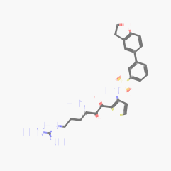 NC(N)NCCC[C@H](N)C(=O)C(=O)c1sccc1NS(=O)(=O)c1cccc(-c2ccc3c(c2)CCO3)c1